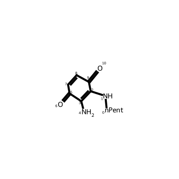 CCCCCNC1=C(N)C(=O)C=CC1=O